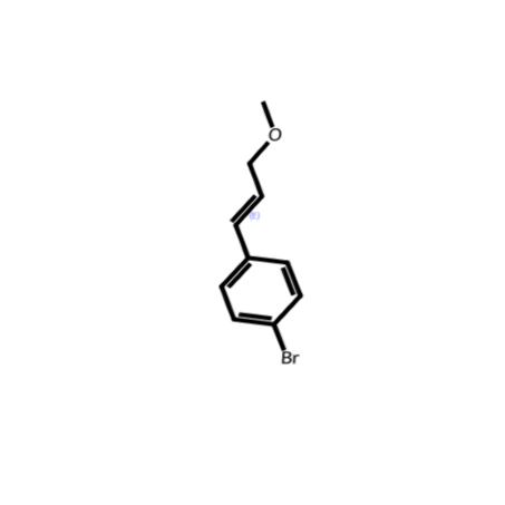 COC/C=C/c1ccc(Br)cc1